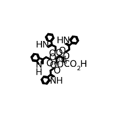 O=C(Cc1c[nH]c2ccccc12)O[C@H]1O[C@H](C(=O)O)[C@@H](OC(=O)Cc2c[nH]c3ccccc23)[C@H](OC(=O)Cc2c[nH]c3ccccc23)[C@H]1OC(=O)Cc1c[nH]c2ccccc12